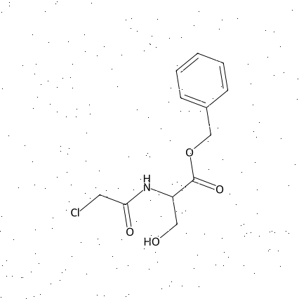 O=C(CCl)NC(CO)C(=O)OCc1ccccc1